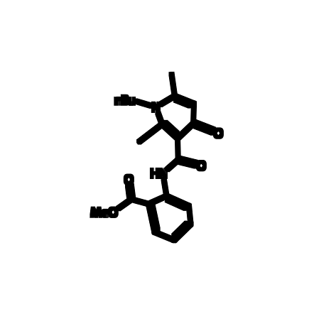 CCCCn1c(C)cc(=O)c(C(=O)Nc2ccccc2C(=O)OC)c1C